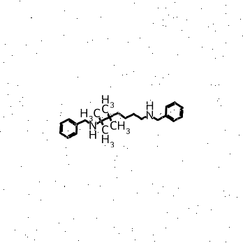 CC(C)(CCCCNCc1ccccc1)C(C)(C)NCc1ccccc1